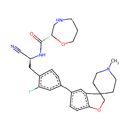 CN1CCC2(CC1)COc1ccc(-c3ccc(C[C@@H](C#N)NC(=O)[C@@H]4CNCCCO4)c(F)c3)cc12